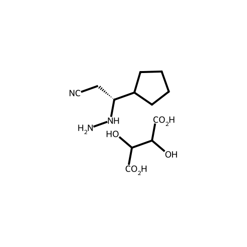 N#CC[C@@H](NN)C1CCCC1.O=C(O)C(O)C(O)C(=O)O